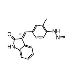 C=NNc1ccc(/C=C2/C(=O)Nc3ccccc32)cc1C